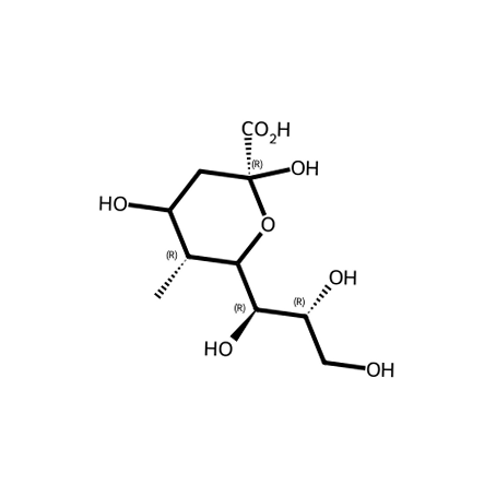 C[C@@H]1C(O)C[C@](O)(C(=O)O)OC1[C@H](O)[C@H](O)CO